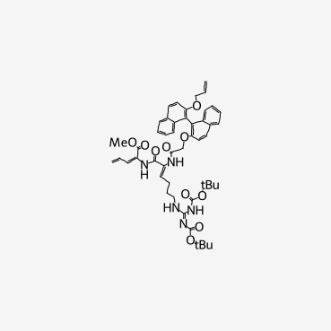 C=C/C=C(/NC(=O)/C(=C/CCCN/C(=N/C(=O)OC(C)(C)C)NC(=O)OC(C)(C)C)NC(=O)COc1ccc2ccccc2c1-c1c(OCC=C)ccc2ccccc12)C(=O)OC